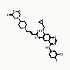 C[C@@H]1CN(C2CCN(C/C=C/C(=O)Nc3cc4c(Nc5ccc(F)c(Cl)c5)ncnc4cc3OCC3CC3)CC2)CC(=O)O1